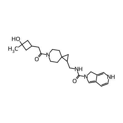 CC1(O)CC(CC(=O)N2CCC3(CC2)CC3CNC(=O)N2C=C3C=CNC=C3C2)C1